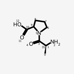 C[C@H](N)C(=O)N1CCCC1C(=O)O